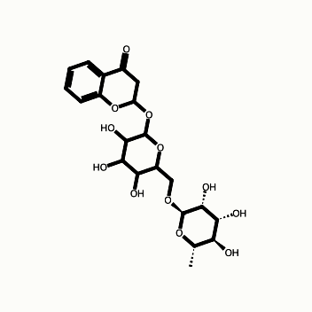 C[C@@H]1O[C@@H](OCC2OC(OC3CC(=O)c4ccccc4O3)C(O)C(O)C2O)[C@H](O)[C@H](O)[C@H]1O